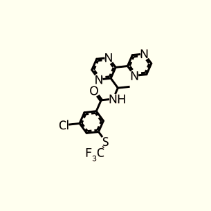 CC(NC(=O)c1cc(Cl)cc(SC(F)(F)F)c1)c1nccnc1-c1cnccn1